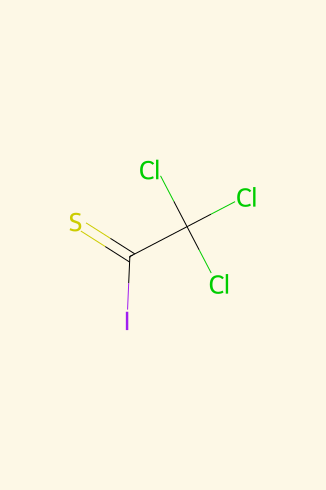 S=C(I)C(Cl)(Cl)Cl